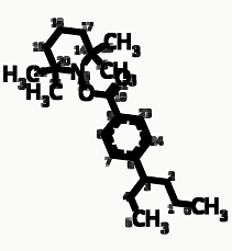 CCCC(CC)c1ccc(C(=O)ON2C(C)(C)CCCC2(C)C)cc1